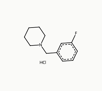 Cl.Fc1cccc(CN2CCCCC2)c1